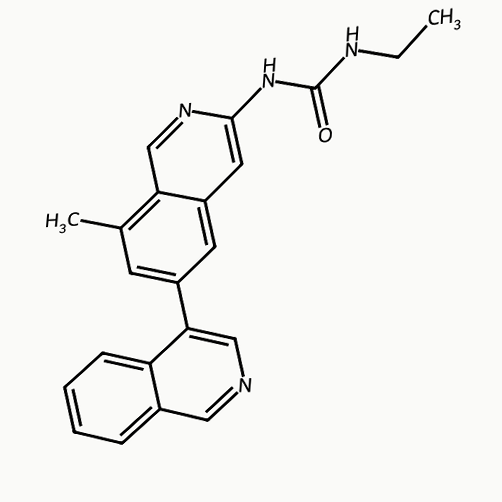 CCNC(=O)Nc1cc2cc(-c3cncc4ccccc34)cc(C)c2cn1